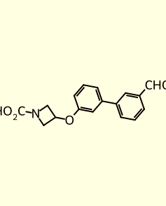 O=Cc1cccc(-c2cccc(OC3CN(C(=O)O)C3)c2)c1